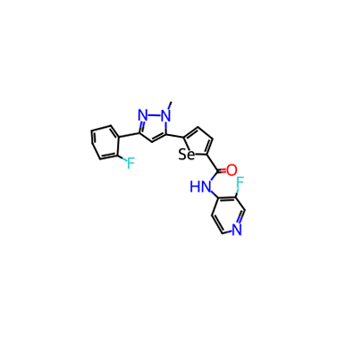 Cn1nc(-c2ccccc2F)cc1-c1ccc(C(=O)Nc2ccncc2F)[se]1